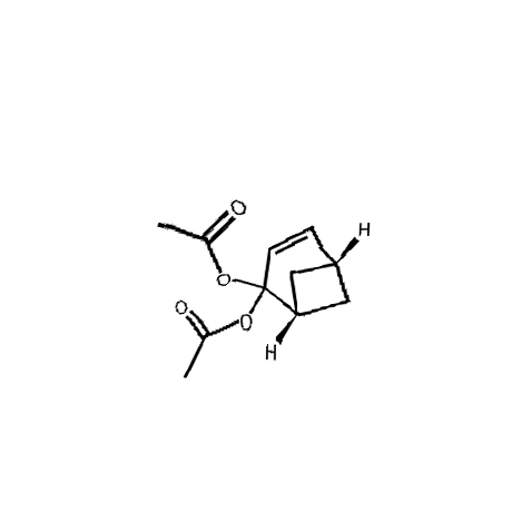 CC(=O)OC1(OC(C)=O)C=C[C@H]2C[C@@H]1C2